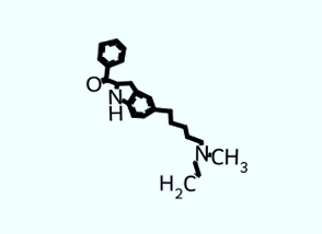 C=CCN(C)CCCCCc1ccc2c(c1)CC(C(=O)c1ccccc1)N2